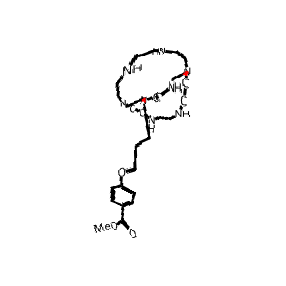 COC(=O)c1ccc(OCCCN2CCNCCN3CCNCCNCCN(CCNCCNCC3)CC2)cc1